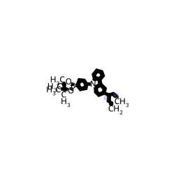 C=C/C=C(\C=C/C)c1ccc2c(c1)c1ccccc1n2-c1ccc(B2OC(C)(C)C(C)(C)O2)cc1